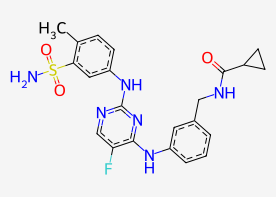 Cc1ccc(Nc2ncc(F)c(Nc3cccc(CNC(=O)C4CC4)c3)n2)cc1S(N)(=O)=O